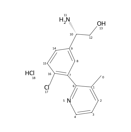 Cc1cccnc1-c1cc([C@H](N)CO)ccc1Cl.Cl